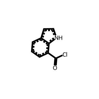 O=C(Cl)c1cccc2cc[nH]c12